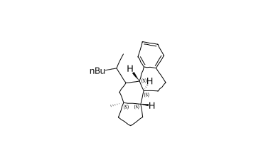 CCCCC(C)C1C[C@]2(C)CCC[C@H]2[C@@H]2CCc3ccccc3[C@@H]12